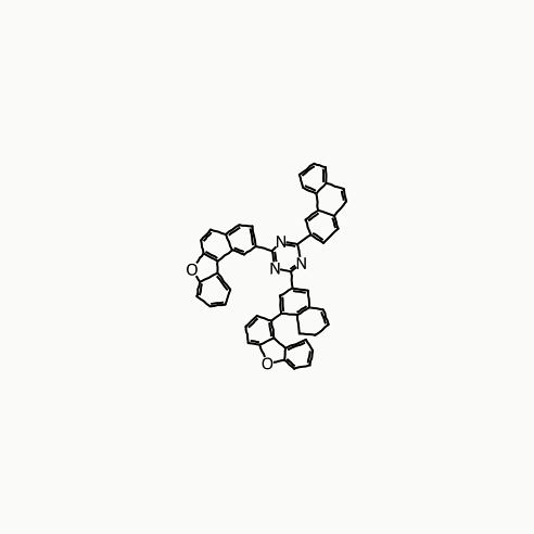 C1=Cc2cc(-c3nc(-c4ccc5ccc6ccccc6c5c4)nc(-c4ccc5ccc6oc7ccccc7c6c5c4)n3)cc(-c3cccc4oc5ccccc5c34)c2CC1